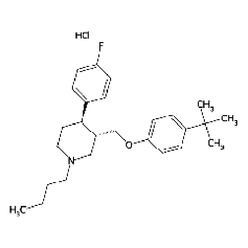 CCCCN1CC[C@@H](c2ccc(F)cc2)[C@H](COc2ccc(C(C)(C)C)cc2)C1.Cl